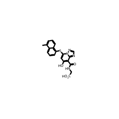 Cc1cccc2c(Sc3cc(O)c(C(=O)NCC(=O)O)c4ncnn34)cccc12